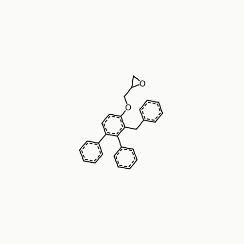 c1ccc(Cc2c(OCC3CO3)ccc(-c3ccccc3)c2-c2ccccc2)cc1